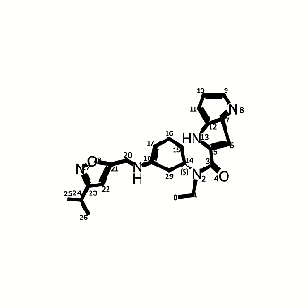 CCN(C(=O)c1cc2ncccc2[nH]1)[C@H]1CCC=C(NCc2cc(C(C)C)no2)C1